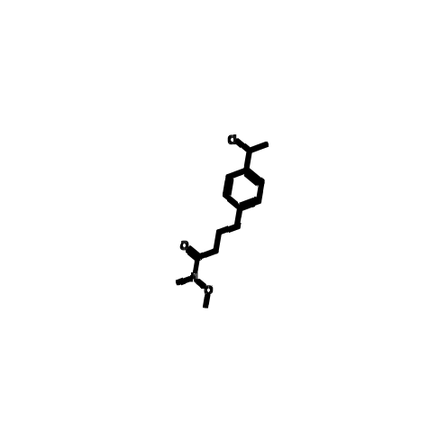 CON(C)C(=O)CCCc1ccc(C(C)Cl)cc1